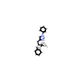 CC(C)(C)[C@H](Cc1ccccc1)Cc1cn(-c2ccccc2)nn1